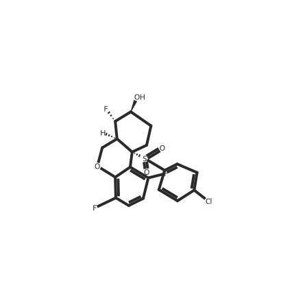 O=S(=O)(c1ccc(Cl)cc1)[C@@]12CC[C@H](O)[C@@H](F)[C@@H]1COc1c(F)ccc(F)c12